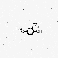 Oc1ccc(OC(F)(F)F)cc1C(F)(F)F